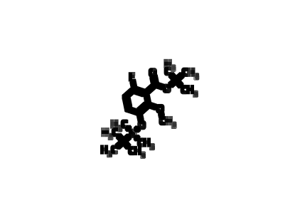 COc1c(O[Si](C)(C)C(C)(C)C)ccc(F)c1C(=O)OC(C)(C)C